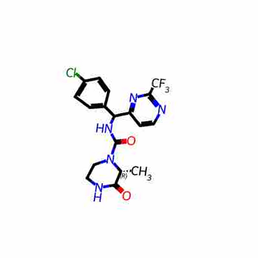 C[C@@H]1C(=O)NCCN1C(=O)NC(c1ccc(Cl)cc1)c1ccnc(C(F)(F)F)n1